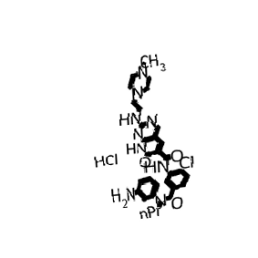 CCCN(C(=O)c1ccc(Cl)c(NC(=O)c2cc3cnc(NCCN4CCN(C)CC4)nc3[nH]c2=O)c1)c1cccc(N)c1.Cl